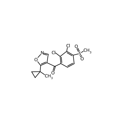 CC1(c2oncc2C(=O)c2ccc(S(C)(=O)=O)c(Cl)c2Cl)CC1